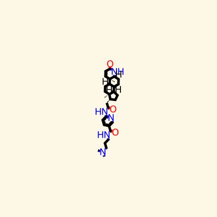 CN(C)CCCNC(=O)c1ccc(NC(=O)C[C@H]2CC[C@H]3[C@@H]4CC[C@H]5NC(=O)C=C[C@]5(C)[C@H]4CC[C@]23C)nc1